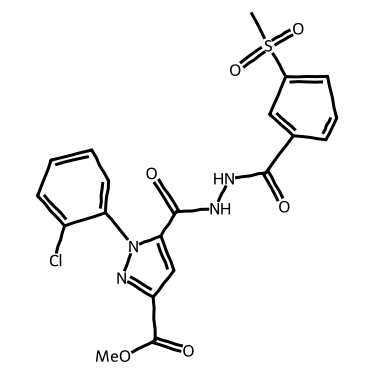 COC(=O)c1cc(C(=O)NNC(=O)c2cccc(S(C)(=O)=O)c2)n(-c2ccccc2Cl)n1